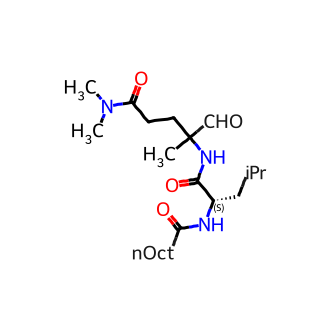 CCCCCCCCC(=O)N[C@@H](CC(C)C)C(=O)NC(C)(C=O)CCC(=O)N(C)C